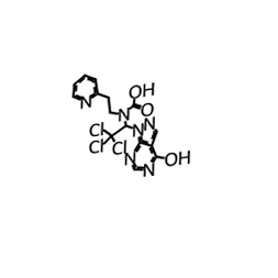 O=C(O)N(CCc1ccccn1)C(n1ncc2c(O)ncnc21)C(Cl)(Cl)Cl